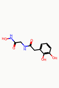 O=C(CNC(=O)Cc1cccc(O)c1O)NO